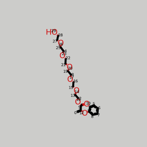 C=C(Oc1ccccc1)C(=O)OCCOCCOCCOCCOCCOCCO